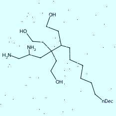 CCCCCCCCCCCCCCCCC(CCO)C(CCO)(CCO)CC(N)CN